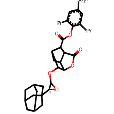 CC(C)c1cc(S(=O)(=O)O)cc(C(C)C)c1OC(=O)C1C2CC3C(OC(=O)C31)C2OC1O[C@H]1C12CC3CC(CC(C3)C1)C2